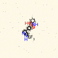 O=S(=O)(N[C@H]1CCCC[C@H]1O)c1ccc(-c2ccnc3[nH]c(C(F)(F)F)cc23)cc1